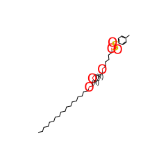 CCCCCCCCCCCCCCCCCCOC[C@H]1C[C@H](COCCCCCOS(=O)(=O)c2ccc(C)cc2)CO1